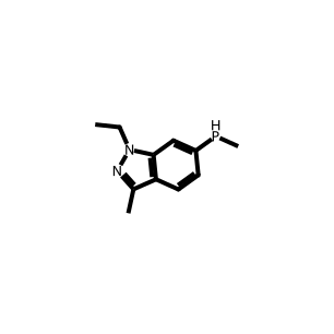 CCn1nc(C)c2ccc(PC)cc21